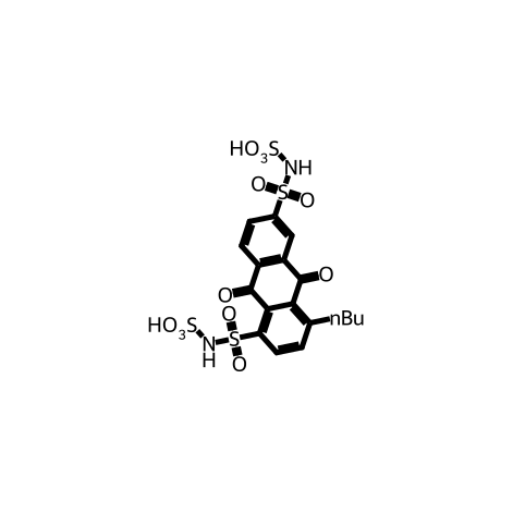 CCCCc1ccc(S(=O)(=O)NS(=O)(=O)O)c2c1C(=O)c1cc(S(=O)(=O)NS(=O)(=O)O)ccc1C2=O